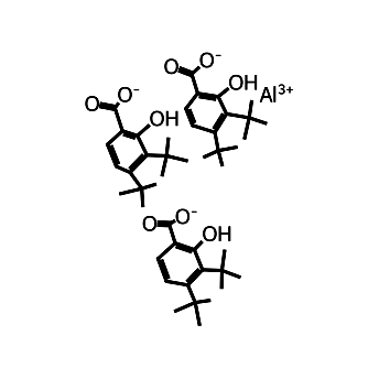 CC(C)(C)c1ccc(C(=O)[O-])c(O)c1C(C)(C)C.CC(C)(C)c1ccc(C(=O)[O-])c(O)c1C(C)(C)C.CC(C)(C)c1ccc(C(=O)[O-])c(O)c1C(C)(C)C.[Al+3]